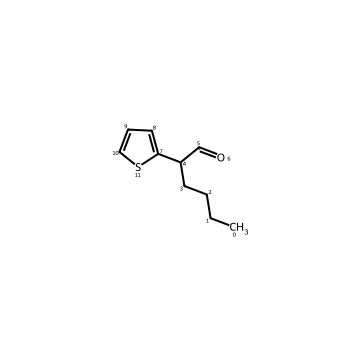 CCCCC([C]=O)c1cccs1